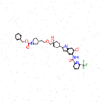 COc1cc2c(cc1NC(=O)c1cccc(C(F)(F)F)n1)=CC(C1CCC(O)(COCCC3CCN(C(=O)OCc4ccccc4)CC3)CC1)N=2